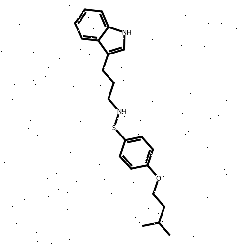 CC(C)CCOc1ccc(SNCCCc2c[nH]c3ccccc23)cc1